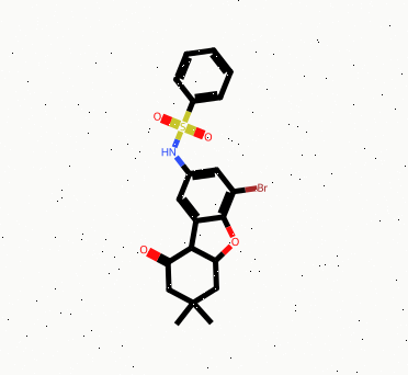 CC1(C)CC(=O)C2c3cc(NS(=O)(=O)c4ccccc4)cc(Br)c3OC2C1